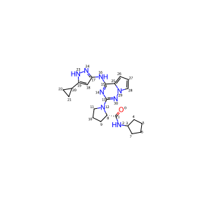 O=C(NC1CCCC1)[C@@H]1CCCN1c1nc(Nc2cc(C3CC3)[nH]n2)c2cccn2n1